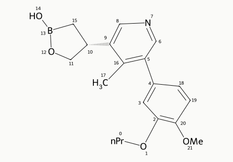 CCCOc1cc(-c2cncc([C@@H]3COB(O)C3)c2C)ccc1OC